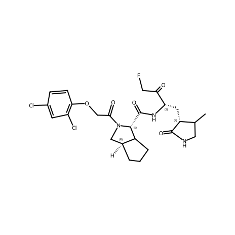 CC1CNC(=O)[C@@H]1C[C@H](NC(=O)[C@@H]1C2CCC[C@H]2CN1C(=O)COc1ccc(Cl)cc1Cl)C(=O)CF